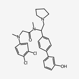 CN(CC(=O)N(C)C(CN1CCCC1)c1ccc(-c2cccc(O)c2)cc1)c1ccc(Cl)c(Cl)c1